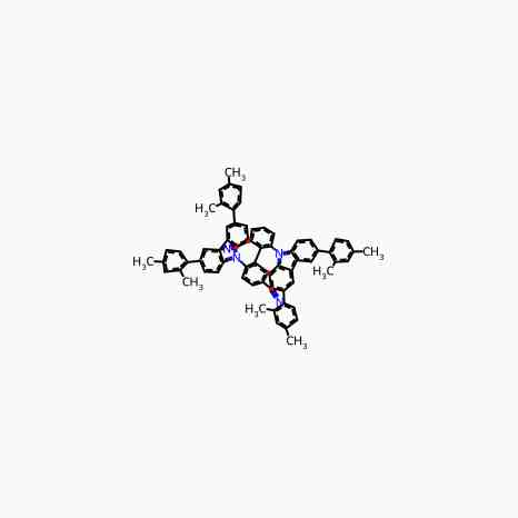 Cc1ccc(-c2ccc3c(c2)c2cc(-c4ccc(C)cc4C)ccc2n3-c2ccc(C#N)cc2-c2c(C#N)cccc2-n2c3ccc(-c4ccc(C)cc4C)cc3c3cc(-c4ccc(C)cc4C)ccc32)c(C)c1